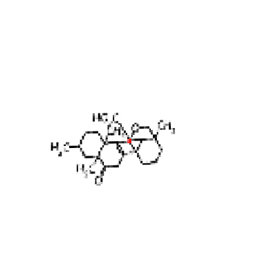 CC1CCC2(C)C3=C(CC(=O)C2(C)C1)C12CCCC(C)(COC1)C2CC3C(=O)O